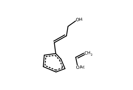 C=COC(C)=O.OCC=Cc1ccccc1